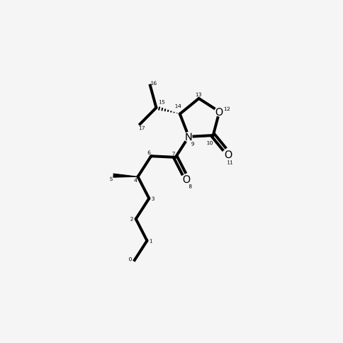 CCCC[C@@H](C)CC(=O)N1C(=O)OC[C@H]1C(C)C